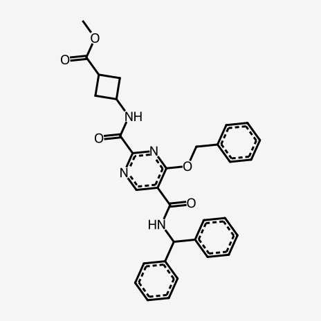 COC(=O)C1CC(NC(=O)c2ncc(C(=O)NC(c3ccccc3)c3ccccc3)c(OCc3ccccc3)n2)C1